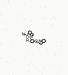 N#CC(O)c1cccc2ccn(Cc3cccc(OCc4ccc5ccccc5n4)c3)c12